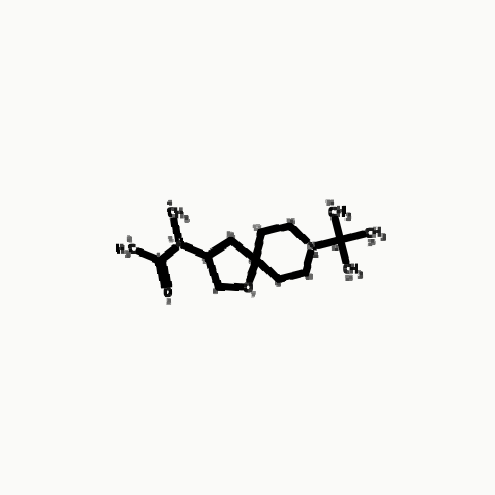 CC(=O)N(C)C1COC2(CCN(C(C)(C)C)CC2)C1